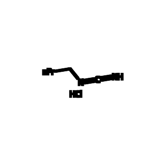 CCCCN=C=N.Cl